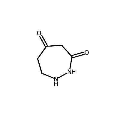 O=C1CCNNC(=O)C1